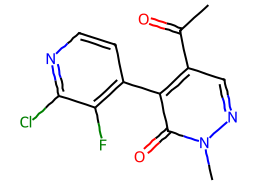 CC(=O)c1cnn(C)c(=O)c1-c1ccnc(Cl)c1F